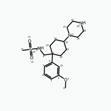 COc1cccc(C2(CNS(C)(=O)=O)CCC(N3CCNCC3)CC2)c1